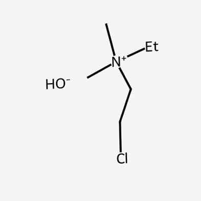 CC[N+](C)(C)CCCl.[OH-]